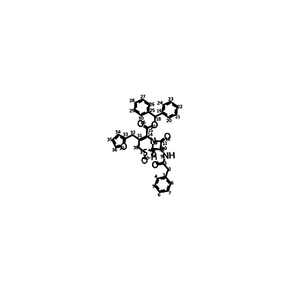 O=C(Cc1ccccc1)N[C@@H]1C(=O)N2C(C(=O)OC(c3ccccc3)c3ccccc3)=C(Cc3ccco3)C[S+]([O-])[C@@H]12